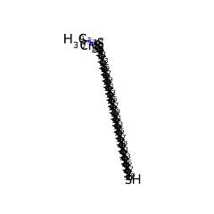 CC(C)/C=C/CS(=S)(=S)SSSSSSSSSSSSSSSSSSSSSSSSSSSSSSSSSSSSSSSSSS